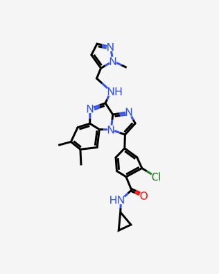 Cc1cc2nc(NCc3ccnn3C)c3ncc(-c4ccc(C(=O)NC5CC5)c(Cl)c4)n3c2cc1C